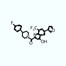 O=C(c1cc(O)c2cc(-c3ccoc3)cc(C(F)(F)F)c2n1)N1CCC(c2ccc(F)cc2)CC1